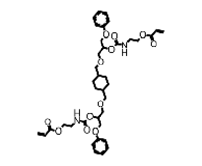 C=CC(=O)OCCNC(=O)OC(COCC1CCC(COCC(COc2ccccc2)OC(=O)NCCOC(=O)C=C)CC1)COc1ccccc1